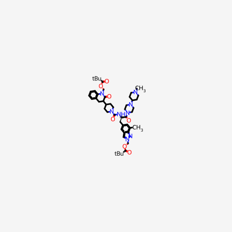 Cc1cc(C[C@@H](NC(=O)N2CCC(C3Cc4ccccc4N(COC(=O)C(C)(C)C)C3=O)CC2)C(=O)N2CCN(C3CCN(C)CC3)CC2)cc2cn(COC(=O)C(C)(C)C)nc12